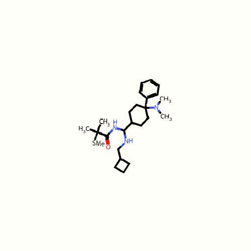 CSC(C)(C)C(=O)NC(NCC1CCC1)C1CCC(c2ccccc2)(N(C)C)CC1